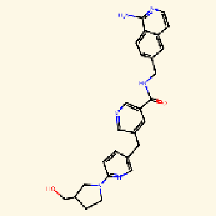 Nc1nccc2cc(CNC(=O)c3cncc(Cc4ccc(N5CCC(CO)C5)nc4)c3)ccc12